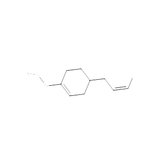 CC/C=C\CC1CC=C(NNC)CC1